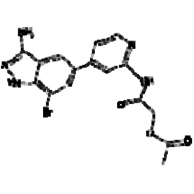 CC(=O)OCC(=O)Nc1cc(-c2cc(Br)c3[nH]nc(N)c3c2)ccn1